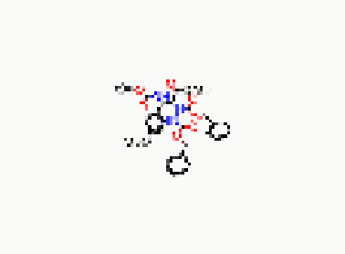 COC(=O)[C@@H]([C@@H](NC(=O)OC(C)(C)C)c1ccc(OC)cc1)N(NC(=O)OCc1ccccc1)C(=O)OCC1=CC=CCC1